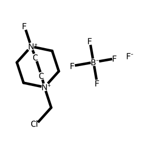 F[B-](F)(F)F.F[N+]12CC[N+](CCl)(CC1)CC2.[F-]